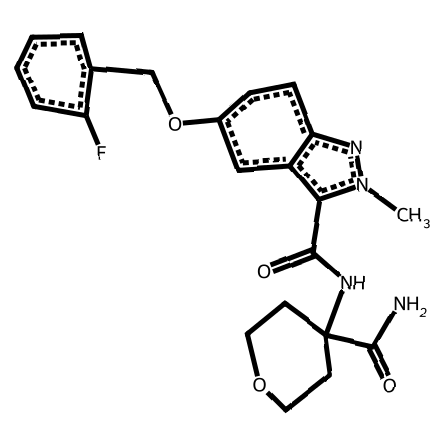 Cn1nc2ccc(OCc3ccccc3F)cc2c1C(=O)NC1(C(N)=O)CCOCC1